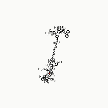 CCCO[C@H](C[C@H](C(C)C)N(CCC)C(=O)[C@@H](NC(=O)[C@H]1CCCCN1C)[C@@H](C)CC)c1nc(C(=O)N[C@@H](Cc2ccc(O)cc2)C[C@H](C)C(=O)NNC(=O)OCCOCCOCCOCCNC(=O)OCc2ccc(NC(=O)[C@H](CCCNC(N)=O)NC(=O)[C@@H](NC(=O)OCC3c4ccccc4-c4ccccc43)C(C)C)cc2)cs1